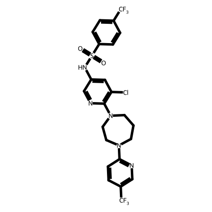 O=S(=O)(Nc1cnc(N2CCCN(c3ccc(C(F)(F)F)cn3)CC2)c(Cl)c1)c1ccc(C(F)(F)F)cc1